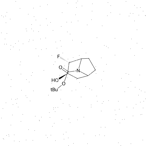 CC(C)(C)OC(=O)N1C2CCC1[C@@H](F)[C@H](O)C2